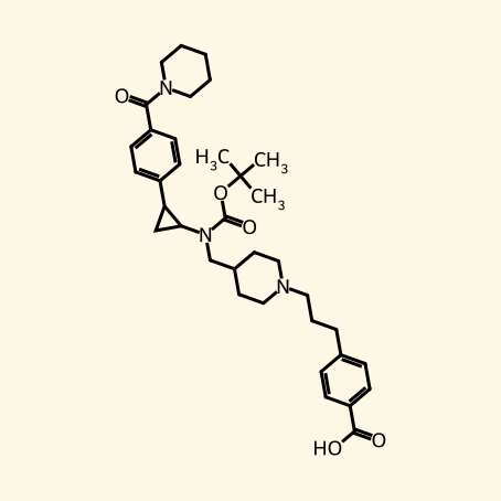 CC(C)(C)OC(=O)N(CC1CCN(CCCc2ccc(C(=O)O)cc2)CC1)C1CC1c1ccc(C(=O)N2CCCCC2)cc1